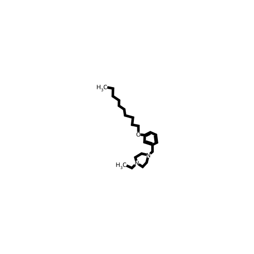 CCCCCCCCCCOc1cccc(CN2CCN(CC)CC2)c1